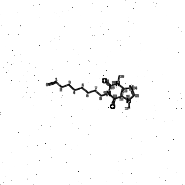 C=CCCCCCCCn1c(=O)c2c(ncn2C)n(C)c1=O